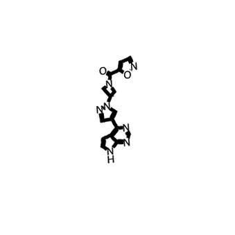 O=C(c1ccno1)N1C[C](n2cc(-c3ncnc4[nH]ccc34)cn2)C1